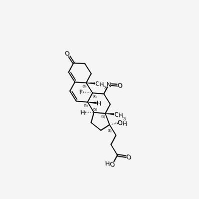 C[C@]12CCC(=O)C=C1C=C[C@H]1[C@@H]3CC[C@](O)(CCC(=O)O)[C@@]3(C)CC(N=O)[C@@]12F